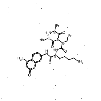 Cc1cc(=O)oc2cc(NC(=O)[C@H](CCCCN)NC(=O)[C@H](CC(C)C)N(C(=O)OC(C)(C)C)C(=O)[C@@H](N)C(C)C)ccc12